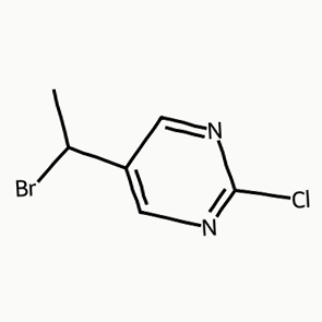 CC(Br)c1cnc(Cl)nc1